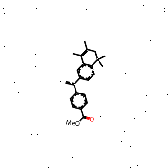 C=C(c1ccc(C(=O)OC)cc1)c1ccc2c(c1)C(C)=C(C)CC2(C)C